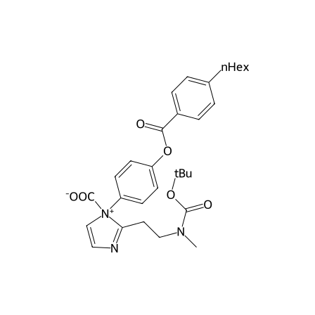 CCCCCCc1ccc(C(=O)Oc2ccc([N+]3(C(=O)[O-])C=CN=C3CCN(C)C(=O)OC(C)(C)C)cc2)cc1